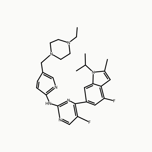 CCN1CCN(Cc2ccc(Nc3ncc(F)c(-c4cc(F)c5cc(C)n(C(C)C)c5c4)n3)nc2)CC1